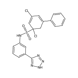 O=S(=O)(Nc1cccc(-c2nn[nH]n2)c1)C1(Cl)C=C(Cl)C=C(c2ccccc2)C1